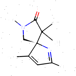 CC1=CC(C)=N[C@]12CN(C(C)C)C(=O)C2(C)C